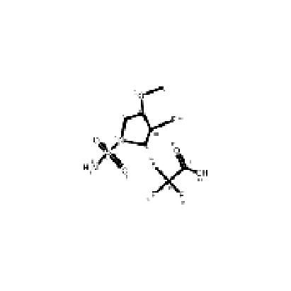 COC1CN(S(N)(=O)=O)CC1F.O=C(O)C(F)(F)F